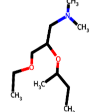 CCOCC(CN(C)C)OC(C)CC